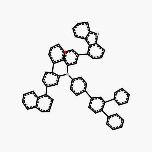 c1ccc(-c2ccc(-c3ccc(N(c4cccc(-c5cccc6oc7ccccc7c56)c4)c4cc(-c5cccc6ccccc56)ccc4-c4ccccc4)cc3)cc2-c2ccccc2)cc1